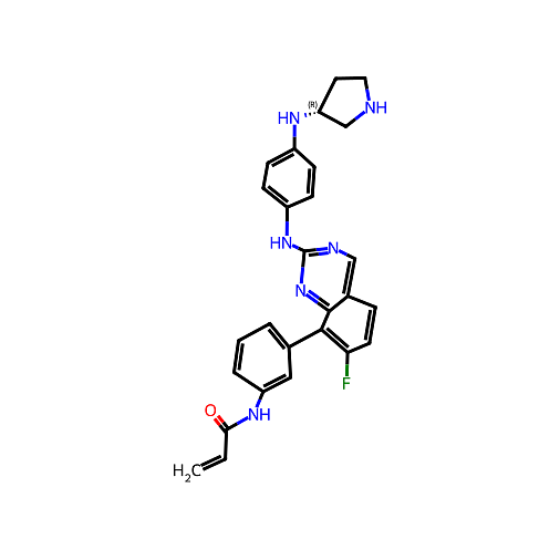 C=CC(=O)Nc1cccc(-c2c(F)ccc3cnc(Nc4ccc(N[C@@H]5CCNC5)cc4)nc23)c1